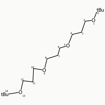 CC(C)(C)OCCCOCCCOCCCOC(C)(C)C